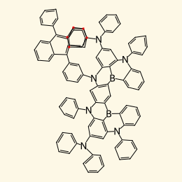 c1ccc(-c2c3ccccc3c(-c3cccc(N4c5cc6c(cc5B5c7ccccc7N(c7ccccc7)c7cc(N(c8ccccc8)c8ccccc8)cc4c75)B4c5ccccc5N(c5ccccc5)c5cc(N(c7ccccc7)c7ccccc7)cc(c54)N6c4ccccc4)c3)c3ccccc23)cc1